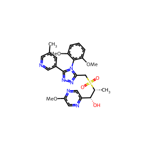 COc1cnc([C@@H](O)[C@@H](C)S(=O)(=O)Cc2nnc(-c3cncc(C)c3)n2-c2c(OC)cccc2OC)cn1